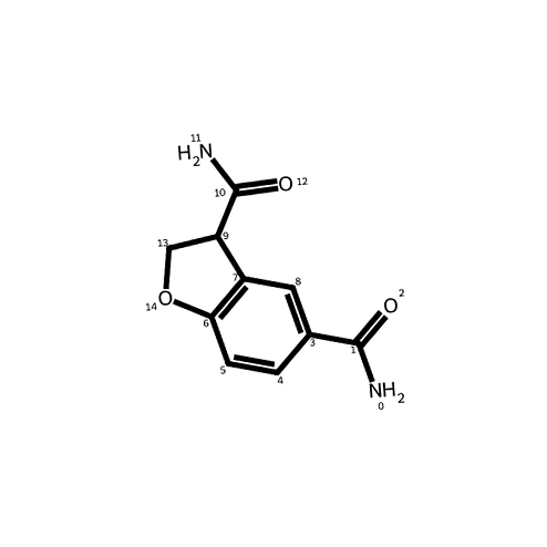 NC(=O)c1ccc2c(c1)C(C(N)=O)CO2